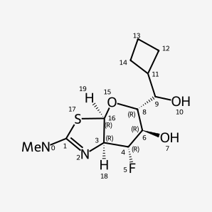 CNC1=N[C@@H]2[C@@H](F)[C@H](O)[C@@H](C(O)C3CCC3)O[C@@H]2S1